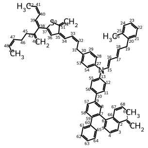 C=Cc1cccc(-c2cc(-c3ccc(N(/C=C/C=C/Cc4ccccc4C)c4ccc(C/C=C\C=c5\cc(/C(=C\C=C/C)C(=C)CC/C=C\C)sc5=C)cc4)cc3)ccc2-c2ccccc2)c1/C=C\C